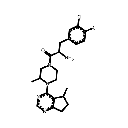 CC1CCc2ncnc(N3CCN(C(=O)C(N)Cc4ccc(Cl)c(Cl)c4)CC3C)c21